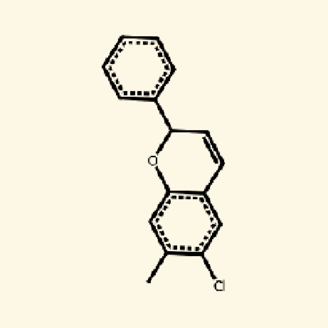 Cc1cc2c(cc1Cl)C=CC(c1ccccc1)O2